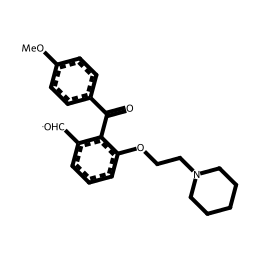 COc1ccc(C(=O)c2c([C]=O)cccc2OCCN2CCCCC2)cc1